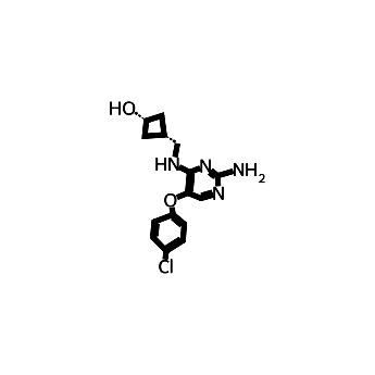 Nc1ncc(Oc2ccc(Cl)cc2)c(NC[C@H]2C[C@@H](O)C2)n1